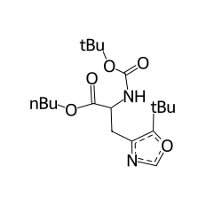 CCCCOC(=O)C(Cc1ncoc1C(C)(C)C)NC(=O)OC(C)(C)C